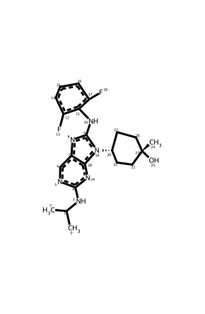 CC(C)Nc1ncc2nc(Nc3c(F)cccc3F)n([C@H]3CC[C@@](C)(O)CC3)c2n1